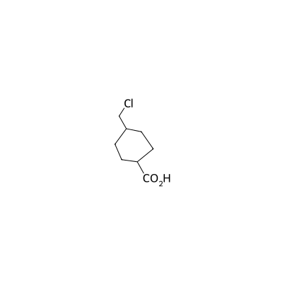 O=C(O)C1CCC(CCl)CC1